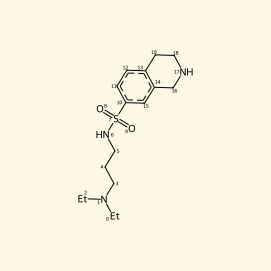 CCN(CC)CCCNS(=O)(=O)c1ccc2c(c1)CNCC2